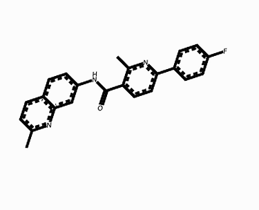 Cc1ccc2ccc(NC(=O)c3ccc(-c4ccc(F)cc4)nc3C)cc2n1